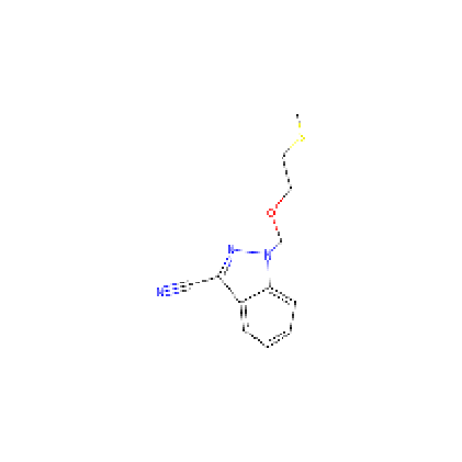 CSCCOCn1nc(C#N)c2ccccc21